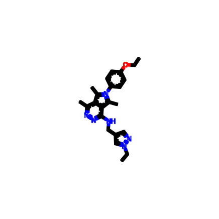 CCOc1ccc(-n2c(C)c3c(C)nnc(NCc4cnn(CC)c4)c3c2C)cc1